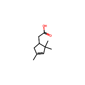 CC1=CC(C)(C)C(CC(=O)O)C1